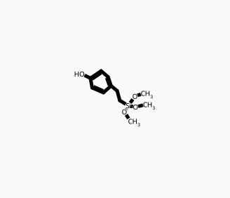 CO[Si](CCc1ccc(O)cc1)(OC)OC